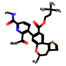 CCCNC(=O)c1ccc(-c2cc3c(cc2C(=O)OCC[Si](C)(C)C)-c2sccc2C[C@@H](C)O3)c(C(=O)OC)n1